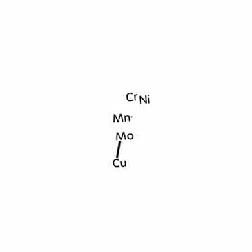 [Cr].[Cu][Mo].[Mn].[Ni]